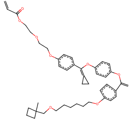 C=CC(=O)OCCOCCOc1ccc(C(Oc2ccc(OC(=C)c3ccc(OCCCCCCOCC4(C)CCC4)cc3)cc2)=C2CC2)cc1